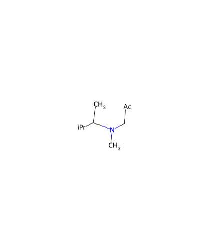 CC(=O)CN(C)C(C)C(C)C